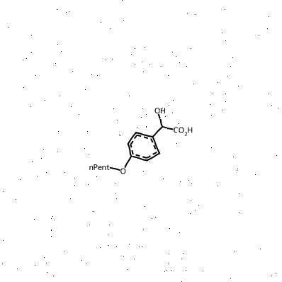 CCCCCOc1ccc(C(O)C(=O)O)cc1